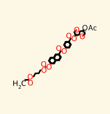 C=CC(=O)OCCCCOC(=O)Oc1ccc2cc(C(=O)Oc3ccc(C(=O)O[C@@H]4COC5C4OC[C@H]5OC(C)=O)cc3)ccc2c1